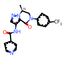 C[C@H]1CN(c2ccc(C(F)(F)F)cc2)C(=O)c2c(NC(=O)c3ccncc3)cnn21